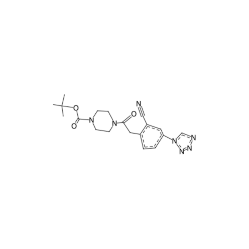 CC(C)(C)OC(=O)N1CCN(C(=O)Cc2ccc(-n3cnnn3)cc2C#N)CC1